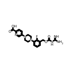 N=C(N)NC(=O)OCc1cccc(N2CCN(c3ccc(C(=O)O)nc3)CC2)c1F